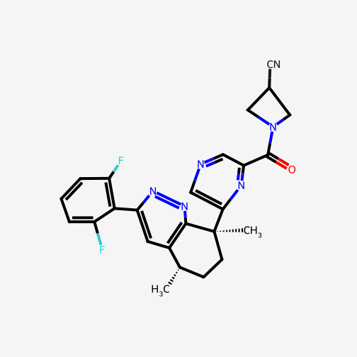 C[C@H]1CC[C@](C)(c2cncc(C(=O)N3CC(C#N)C3)n2)c2nnc(-c3c(F)cccc3F)cc21